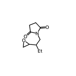 CCC(CN1C(=O)CCC1=O)C1CO1